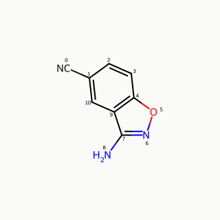 N#Cc1ccc2onc(N)c2c1